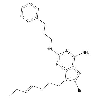 CCC=CCCCn1c(Br)nc2c(N)nc(NCCCc3ccccc3)nc21